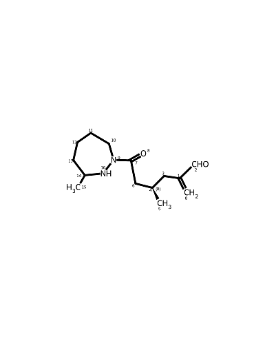 C=C(C=O)C[C@@H](C)CC(=O)N1CCCCC(C)N1